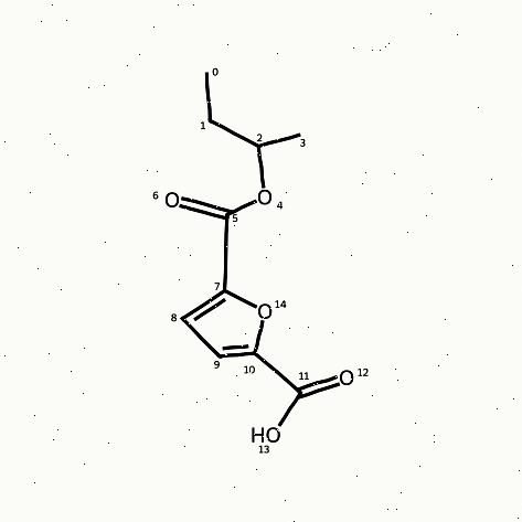 CCC(C)OC(=O)c1ccc(C(=O)O)o1